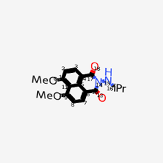 COc1ccc2c3c(ccc(OC)c13)C(=O)N(NC(C)C)C2=O